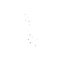 O=C(CCCCC(=O)OC(O)[C@@H](O)[C@@H](O)CO)OC(O)[C@@H](O)[C@@H](O)CO